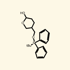 CC(C)(C)[Si](OCC1CCC(O)OC1)(c1ccccc1)c1ccccc1